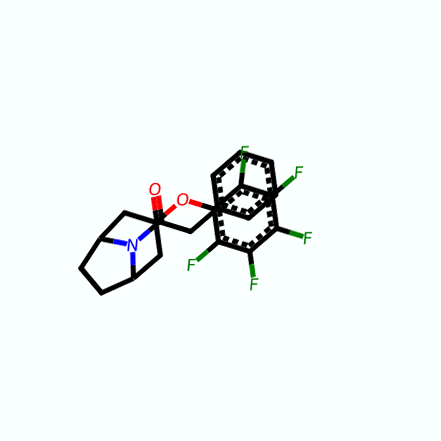 O=C(Cc1ccccc1)N1C2CCC1CC(Oc1c(F)c(F)c(F)c(F)c1F)C2